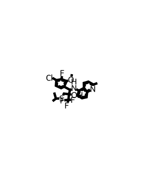 COc1c(C(Nc2cccc3nc(C)ccc23)C(O)(CSC(C)C)C(F)(F)F)ccc(Cl)c1F